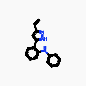 C=Cc1cc(-c2ccccc2Nc2ccccc2)[nH]n1